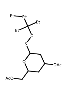 CCPC(CC)(CC)OSC1CC(OC(C)=O)CC(COC(C)=O)O1